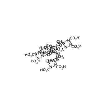 CN(C)CC(=O)NCC(CNC(=O)CN(C)C(=O)CN1CCN(CC=O)CCN(CC(=O)O)CCN(CC(=O)O)CC1)(CNC(=O)CN(C)C(=O)CN1CCN(CC(=O)O)CCN(CC(=O)O)CCN(CC(=O)O)CC1)CNC(=O)CN(C)C(=O)CN1CCN(CC(=O)O)CCN(CC(=O)O)CCN(CC(=O)O)CC1